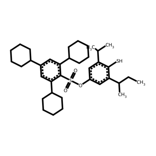 CCC(C)c1cc(OS(=O)(=O)c2c(C3CCCCC3)cc(C3CCCCC3)cc2C2CCCCC2)cc(C(C)C)c1S